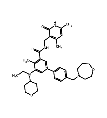 CCN(c1cc(-c2ccc(CN3CCCOCC3)cc2)cc(C(=O)NCc2c(C)cc(C)[nH]c2=O)c1C)C1CCOCC1